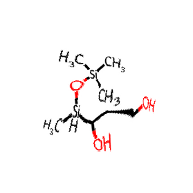 C[SiH](O[Si](C)(C)C)C(O)CCO